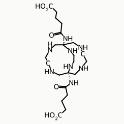 O=C(O)CCCC(=O)N[C@]12CNCCNC[C@](NC(=O)CCCC(=O)O)(CNCCNC1)NCCN2